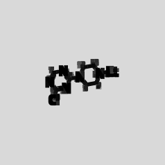 CCN1CCN(c2ncnc(Cl)n2)CC1